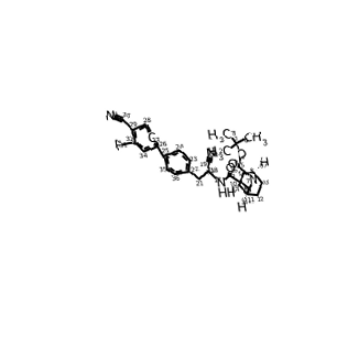 CC(C)(C)OC(=O)N1[C@H]2CC[C@H](CC2)[C@H]1C(=O)N[C@H](C#N)Cc1ccc(-c2ccc(C#N)c(F)c2)cc1